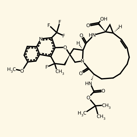 COc1ccc2nc(C(F)(F)F)c3c(c2c1)C(C)(F)C[C@]1(C[C@H]2C(=O)N[C@]4(C(=O)O)C[C@H]4C=CCCCCC[C@H](NC(=O)OC(C)(C)C)C(=O)N2C1)O3